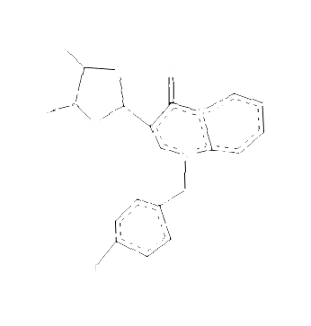 CC1SC(c2c[n+](Cc3ccc(Cl)cc3)c3ccccn3c2=O)SC1C